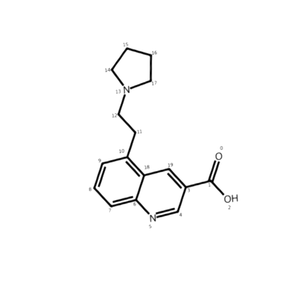 O=C(O)c1cnc2cccc(CCN3CCCC3)c2c1